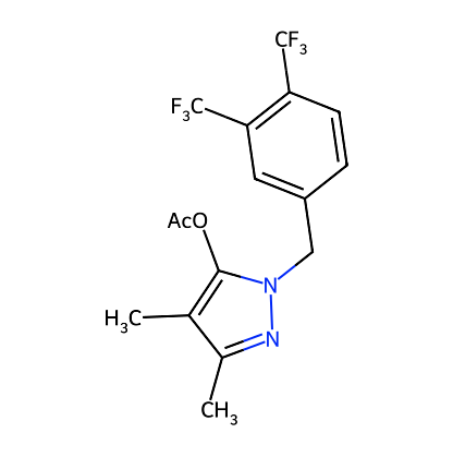 CC(=O)Oc1c(C)c(C)nn1Cc1ccc(C(F)(F)F)c(C(F)(F)F)c1